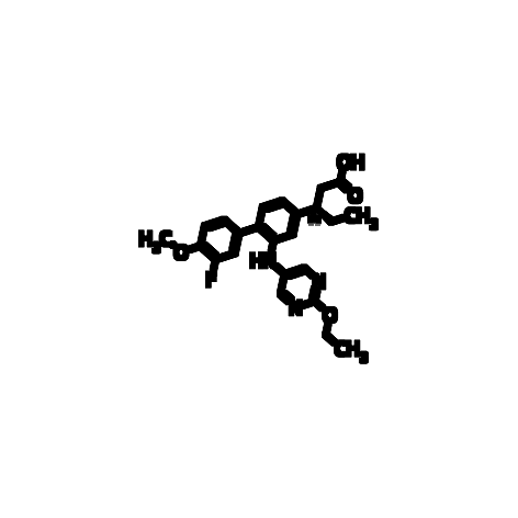 CCOc1ncc(Nc2cc([C@H](CC)CC(=O)O)ccc2-c2ccc(OC)c(F)c2)cn1